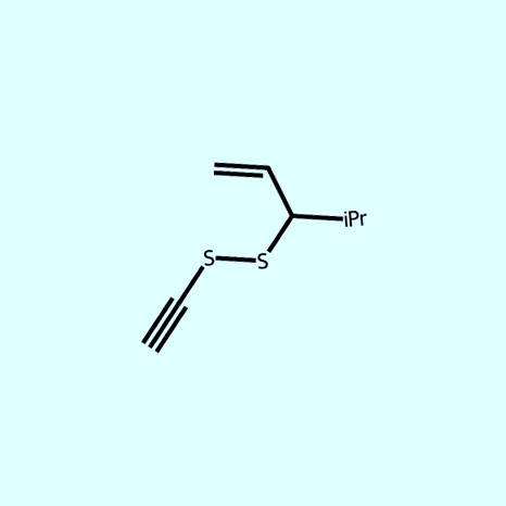 C#CSSC(C=C)C(C)C